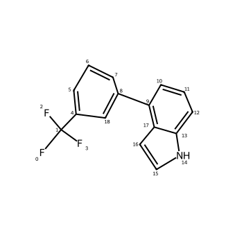 FC(F)(F)c1cccc(-c2cccc3[nH]ccc23)c1